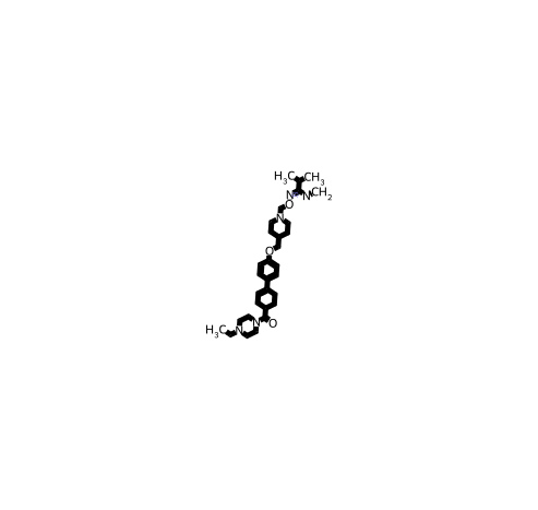 C=N/C(=N\OCN1CCC(COc2ccc(C3=CCC(C(=O)N4CCN(CC)CC4)CC3)cc2)CC1)C(C)C